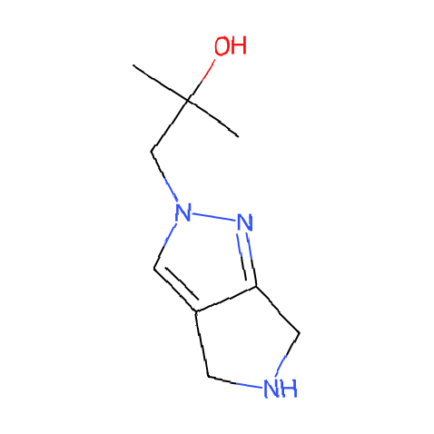 CC(C)(O)Cn1cc2c(n1)CNC2